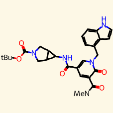 CNC(=O)c1cc(C(=O)NC2C3CN(C(=O)OC(C)(C)C)CC32)cn(Cc2cccc3[nH]ccc23)c1=O